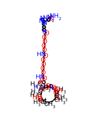 CO[C@H]1C[C@@H]2CC[C@@H](C)[C@@](O)(O2)C(=O)C(=O)N2CCCC[C@H]2C(=O)O[C@H]([C@H](N)C[C@@H]2CC[C@@H](OC(=O)NCCOCCOCCOCCOCCC(=O)NCCOCCOCCOCCOCCC(=O)N3CCc4cc(Cn5nc(-c6ccc7oc(N)nc7c6)c6c(N)ncnc65)ccc4C3)[C@H](OC)C2)C[C@@H](OC)[C@H](C)/C=C(\C)[C@@H](O)[C@@H](OC)C(=O)[C@H](C)C[C@H](C)/C=C/C=C/C=C/1C